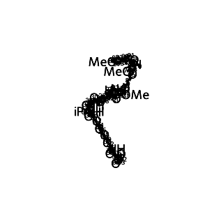 C=Nc1cc(OCCCCCOc2cc3c(cc2OC)C(=O)N2C=C(c4ccc(NC(=O)[C@H](C)NC(=O)[C@@H](NC(=O)CCOCCOCCOCCOCCNC(=O)CCN5C(=O)C=CC5=O)C(C)C)cc4)C[C@H]2C=N3)c(OC)cc1C(=O)N1C=C(c2ccc(OC)cc2)C[C@H]1C